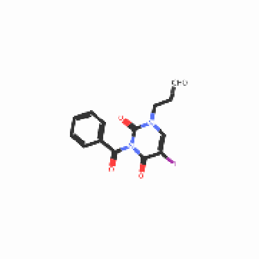 O=CCCn1cc(I)c(=O)n(C(=O)c2ccccc2)c1=O